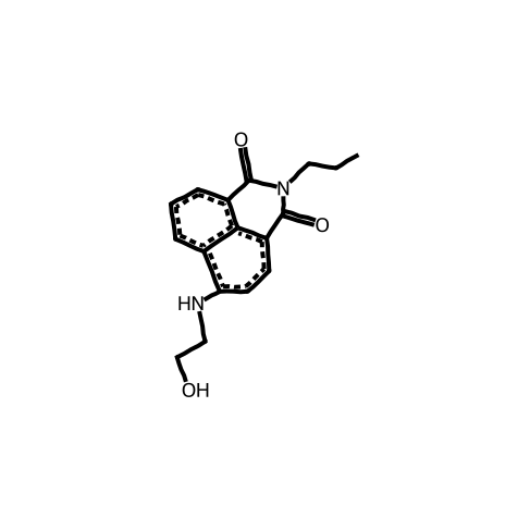 CCCN1C(=O)c2cccc3c(NCCO)ccc(c23)C1=O